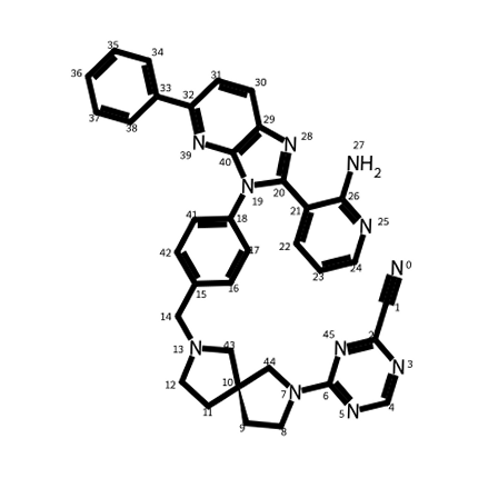 N#Cc1ncnc(N2CC[C@]3(CCN(Cc4ccc(-n5c(-c6cccnc6N)nc6ccc(-c7ccccc7)nc65)cc4)C3)C2)n1